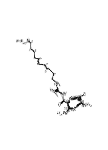 N=C(NCCCCCCCCCCN)NC(=O)c1nc(Cl)c(N)nc1N